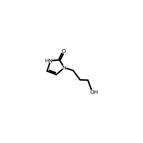 O=c1[nH]ccn1CCCO